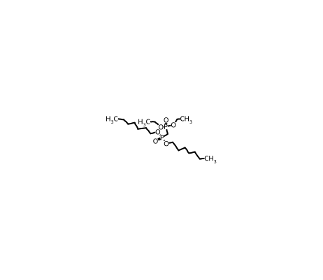 CCCCCCCOP(=O)(CP(=O)(OCC)OCC)OCCCCCCC